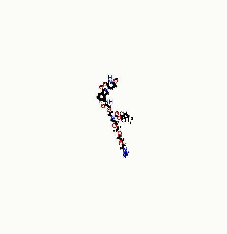 CC(C)(C)OC(=O)N(CCOCCOCCOCCN=[N+]=[N-])CCOCC(=O)Nc1cccc2c1CN(C1CCC(=O)NC1=O)C2=O